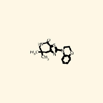 CC1(C)CNC(=O)c2sc(N3CCOc4ccccc43)nc2C1